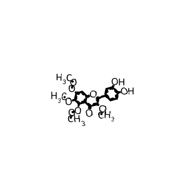 COOc1cc2oc(-c3ccc(O)c(O)c3)c(OC)c(=O)c2c(OOC)c1OC